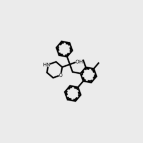 Cc1ccc(-c2ccccc2)c(CC(O)(c2ccccc2)C2CNCCO2)c1C